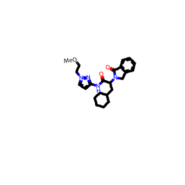 COCCn1ccc(NC(=O)C(CC2CCCCC2)N2Cc3ccccc3C2=O)n1